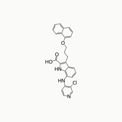 O=C(O)c1[nH]c2c(Nc3ccncc3Cl)cccc2c1CCCOc1cccc2ccccc12